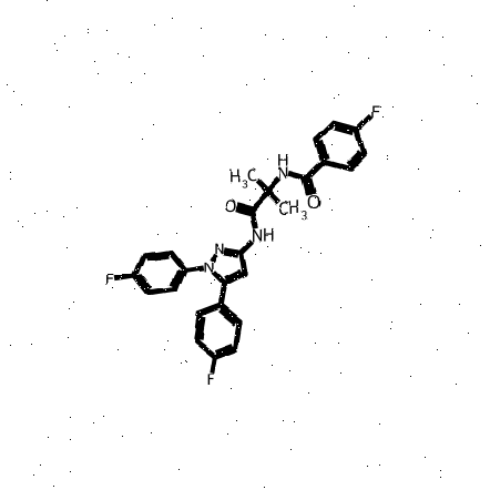 CC(C)(NC(=O)c1ccc(F)cc1)C(=O)Nc1cc(-c2ccc(F)cc2)n(-c2ccc(F)cc2)n1